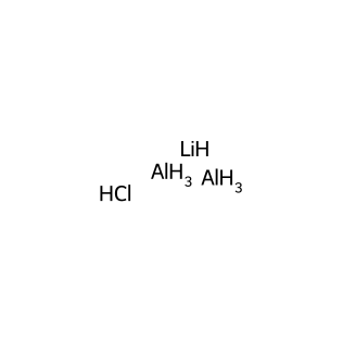 Cl.[AlH3].[AlH3].[LiH]